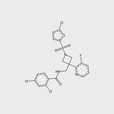 O=C(NCC1(c2ncccc2F)CN(S(=O)(=O)c2ccc(Cl)s2)C1)c1ccc(Cl)cc1Cl